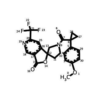 COc1ccc(C2(C(=O)N3CCC4(C3)OC(=O)c3cnc(C(F)(F)F)cc34)CC2)cc1